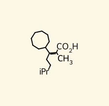 C/C(C(=O)O)=C(\CCC(C)C)C1CCCCCCC1